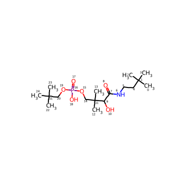 CC(C)(C)CCNC(=O)C(O)C(C)(C)COP(=O)(O)OCC(C)(C)C